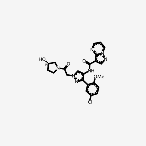 COc1ccc(Cl)cc1-c1nn(CC(=O)N2CC[C@@H](O)C2)cc1NC(=O)c1cnn2cccnc12